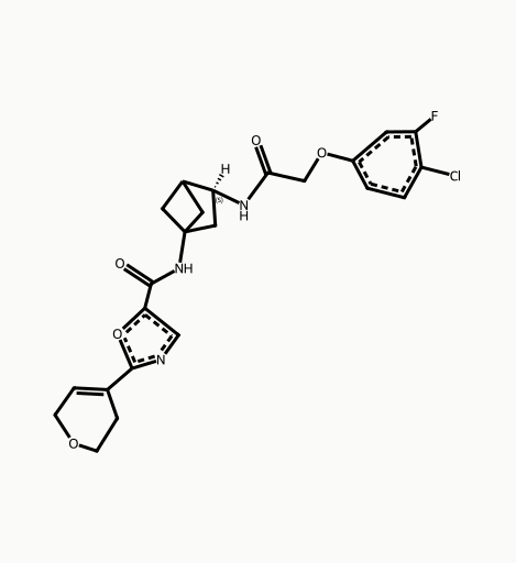 O=C(COc1ccc(Cl)c(F)c1)N[C@H]1CC2(NC(=O)c3cnc(C4=CCOCC4)o3)CC1C2